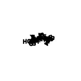 CON=C1CN(c2nc3c(cc2F)c(=O)c(C(=O)O)cn3C2CC2)CC1CNc1nc2c(cc1F)c(=O)c(C(C)=O)cn2C1CC1